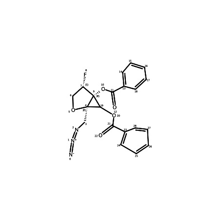 [N-]=[N+]=NC[C@]12OC[C@H](F)[C@@]1(OC(=O)c1ccccc1)C2OC(=O)c1ccccc1